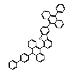 c1ccc(-c2ccc(-c3c4ccccc4c(-c4cccc5c4oc4ccc(-c6c7ccccc7c(-c7ccccc7)c7ccccc67)cc45)c4ccccc34)cc2)cc1